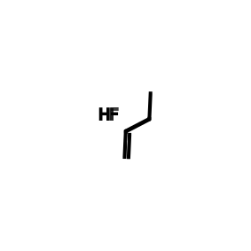 C=CCC.F